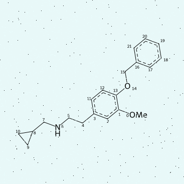 COc1cc(CCNCC2CC2)ccc1OCc1ccccc1